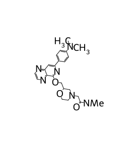 CNC(=O)CN1CCOC(COc2nc(-c3ccc(N(C)C)cc3)cc3nccnc23)C1